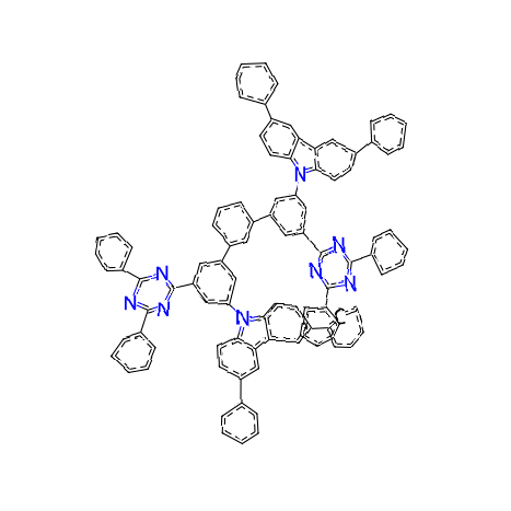 c1ccc(-c2ccc3c(c2)c2cc(-c4ccccc4)ccc2n3-c2cc(-c3cccc(-c4cc(-c5nc(-c6ccccc6)nc(-c6ccccc6)n5)cc(-n5c6ccc(-c7ccccc7)cc6c6cc(-c7ccccc7)ccc65)c4)c3)cc(-c3nc(-c4ccccc4)nc(-c4ccccc4)n3)c2)cc1